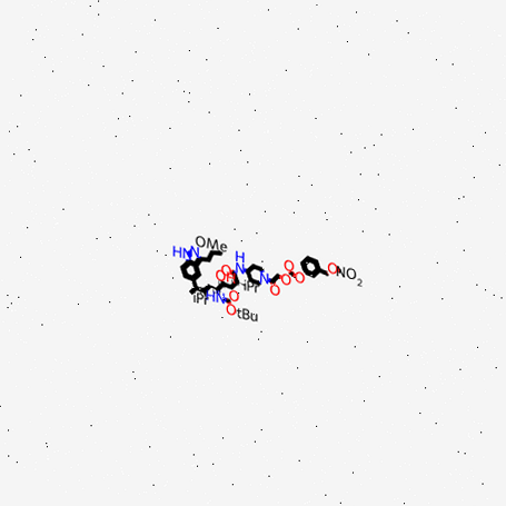 COCCCc1n[nH]c2ccc(C(C)[C@@H](C[C@H](NC(=O)OC(C)(C)C)[C@@H](O)C[C@H](C(=O)NC3CCN(C(=O)COC(=O)Oc4cccc(CO[N+](=O)[O-])c4)CC3)C(C)C)C(C)C)cc12